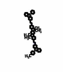 Cc1ccc(-n2c3ccccc3c3cc(/C=C/c4ccc5c(c4)C(C)(C)c4cc6c(cc4-5)C(C)(C)c4cc(/C=C/c5ccc7c(c5)c5ccccc5n7-c5ccccc5)ccc4-6)ccc32)cc1